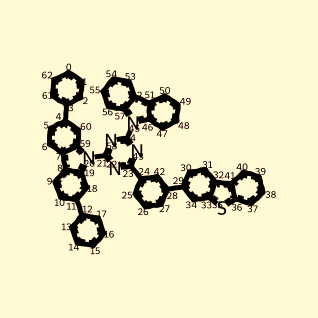 c1ccc(-c2ccc3c4ccc(-c5ccccc5)cc4n(-c4nc(-c5cccc(-c6ccc7c(c6)sc6ccccc67)c5)nc(-n5c6ccccc6c6ccccc65)n4)c3c2)cc1